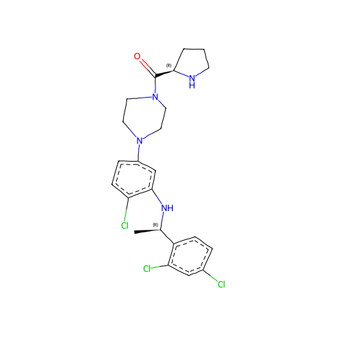 C[C@@H](Nc1cc(N2CCN(C(=O)[C@H]3CCCN3)CC2)ccc1Cl)c1ccc(Cl)cc1Cl